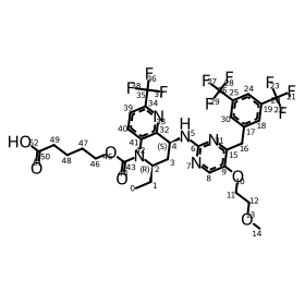 CC[C@@H]1C[C@H](Nc2ncc(OCCOC)c(Cc3cc(C(F)(F)F)cc(C(F)(F)F)c3)n2)c2nc(C(F)(F)F)ccc2N1C(=O)OCCCCC(=O)O